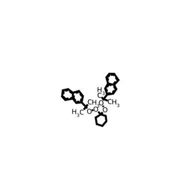 CC(C)(OOC1(OOC(C)(C)c2ccc3ccccc3c2)CCCCC1)c1ccc2ccccc2c1